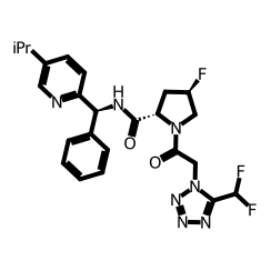 CC(C)c1ccc([C@@H](NC(=O)[C@@H]2C[C@@H](F)CN2C(=O)Cn2nnnc2C(F)F)c2ccccc2)nc1